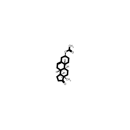 CC(=O)O[C@H]1CC[C@H]2C(=CC[C@@H]3[C@@H]2CC[C@]2(C)C(=O)CC[C@@H]32)C1